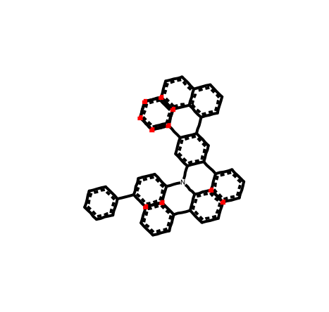 C1=CC(c2cc(N(c3ccc(-c4ccccc4)cc3)c3ccccc3-c3ccccc3)c(-c3ccccc3)cc2-c2cccc3ccc4ccccc4c23)=CCC1